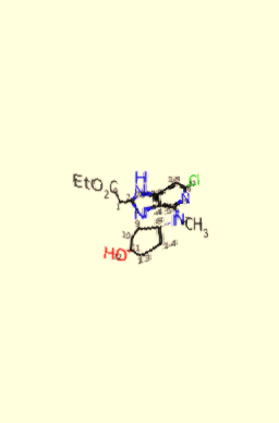 CCOC(=O)Cc1nc2c(N(C)[C@H]3CC[C@H](O)CC3)nc(Cl)cc2[nH]1